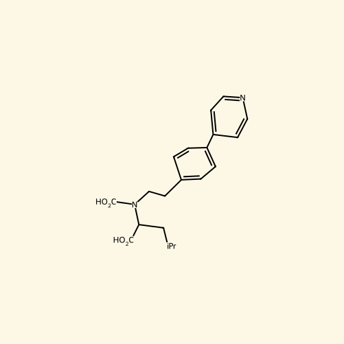 CC(C)CC(C(=O)O)N(CCc1ccc(-c2ccncc2)cc1)C(=O)O